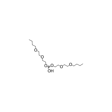 CCCCOCCOCCOP(O)OCCOCCOCCCC